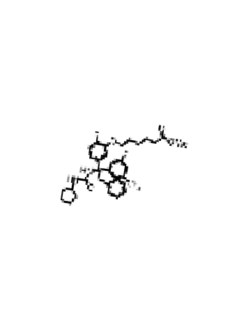 COC(=O)CCCCCOc1cc([C@@](Cc2ccccc2)(NC(=O)NC2CCCC2)c2cc(F)cc(C(F)(F)F)c2)ccc1F